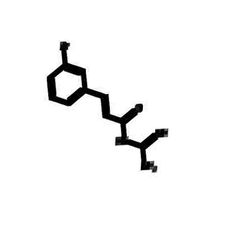 N=C(N)NC(=O)/C=C/c1cccc(Br)c1